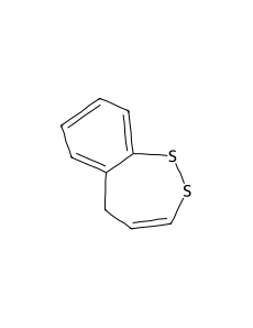 C1=CSSc2ccccc2C1